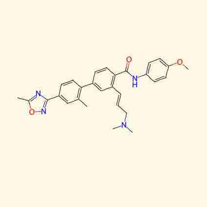 COc1ccc(NC(=O)c2ccc(-c3ccc(-c4noc(C)n4)cc3C)cc2C=CCN(C)C)cc1